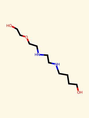 OCCCCNCCNCCOCCO